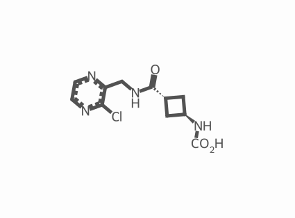 O=C(O)N[C@H]1C[C@H](C(=O)NCc2nccnc2Cl)C1